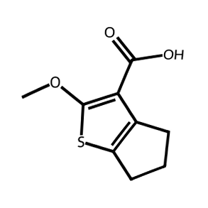 COc1sc2c(c1C(=O)O)CCC2